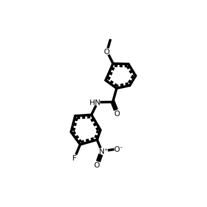 COc1cccc(C(=O)Nc2ccc(F)c([N+](=O)[O-])c2)c1